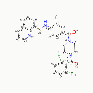 Cc1cc(C(=O)N2CCN(C(=O)c3c(F)cccc3F)CC2)ccc1NSc1cccc2cccnc12